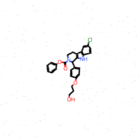 O=C(Oc1ccccc1)N1CCc2c([nH]c3ccc(Cl)cc23)C1c1ccc(OCCCO)cc1